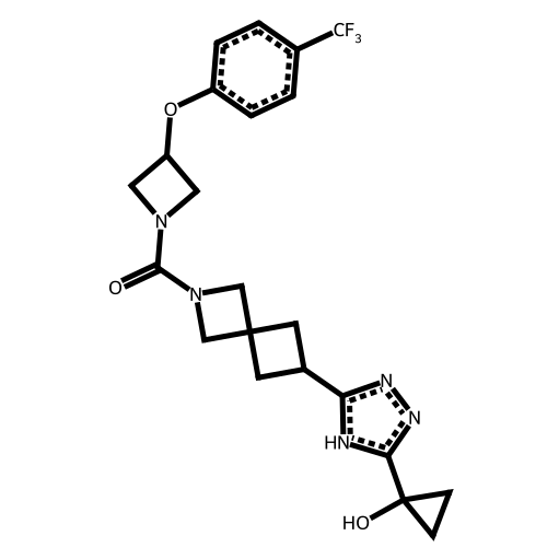 O=C(N1CC(Oc2ccc(C(F)(F)F)cc2)C1)N1CC2(CC(c3nnc(C4(O)CC4)[nH]3)C2)C1